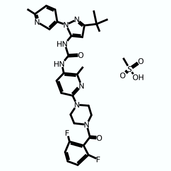 CS(=O)(=O)O.Cc1ccc(-n2nc(C(C)(C)C)cc2NC(=O)Nc2ccc(N3CCN(C(=O)c4c(F)cccc4F)CC3)nc2C)cn1